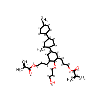 C=C(C)C(=O)OCCCC1CC(C2CCC(C3CCC(C)CC3)CC2C)CC(CCCOC(=O)C(=C)C)C1OCCCO